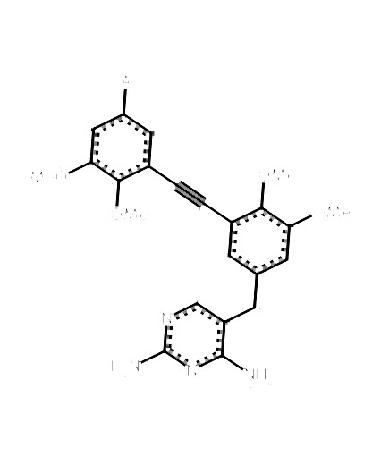 COc1cc(Cc2cnc(N)nc2N)cc(C#Cc2cc(C(C)=O)cc(OC)c2OC)c1OC